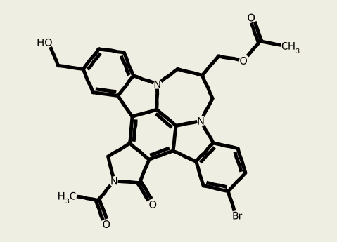 CC(=O)OCC1Cn2c3ccc(CO)cc3c3c4c(c5c6cc(Br)ccc6n(c5c32)C1)C(=O)N(C(C)=O)C4